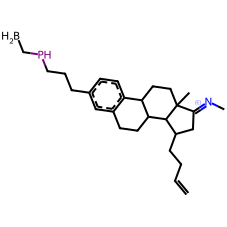 BCPCCCc1ccc2c(c1)CCC1C2CCC2(C)/C(=N/C)CC(CCC=C)C12